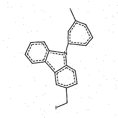 Cc1cccc(-n2c3ccccc3c3cc(CI)ccc32)c1